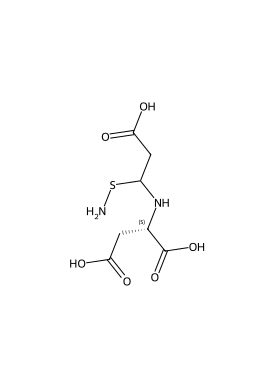 NSC(CC(=O)O)N[C@@H](CC(=O)O)C(=O)O